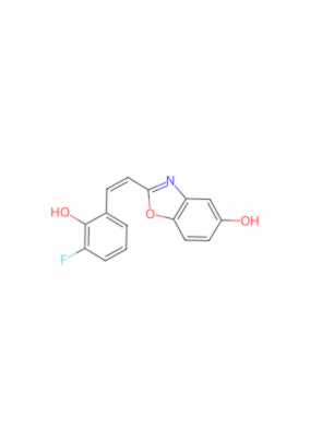 Oc1ccc2oc(/C=C\c3cccc(F)c3O)nc2c1